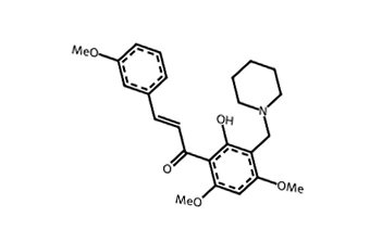 COc1cccc(/C=C/C(=O)c2c(OC)cc(OC)c(CN3CCCCC3)c2O)c1